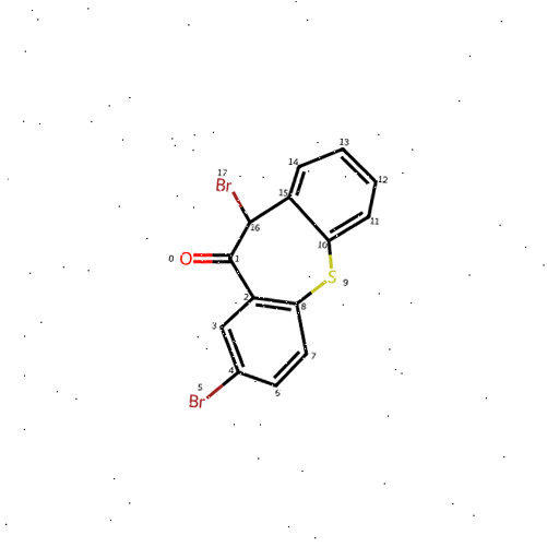 O=C1c2cc(Br)ccc2Sc2ccccc2C1Br